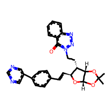 CC1(C)O[C@@H]2O[C@@H](C=Cc3ccc(-c4cncnc4)cc3)[C@H](CCn3nnc4ccccc4c3=O)[C@@H]2O1